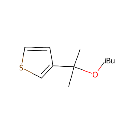 CCC(C)OC(C)(C)c1ccsc1